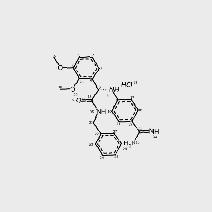 COc1cccc([C@H](Nc2ccc(C(=N)N)cc2)C(=O)NCc2ccccc2)c1OC.Cl